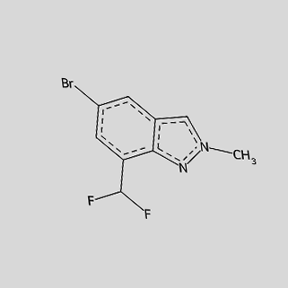 Cn1cc2cc(Br)cc(C(F)F)c2n1